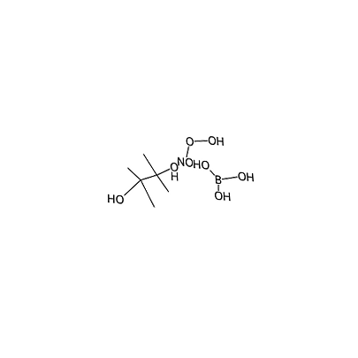 CC(C)(O)C(C)(C)O.O=NOO.OB(O)O